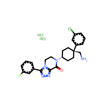 Cl.Cl.NC[C@]1(c2cccc(Cl)c2)CC[C@@H](N2CCn3c(nnc3-c3cccc(F)c3)C2=O)CC1